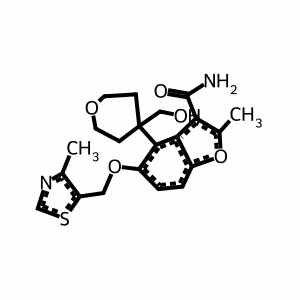 Cc1ncsc1COc1ccc2oc(C)c(C(N)=O)c2c1C1(CO)CCOCC1